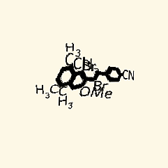 COc1cc2c(cc1C(Br)C(Br)c1ccc(C#N)cc1)C(C)(C)CCC2(C)C